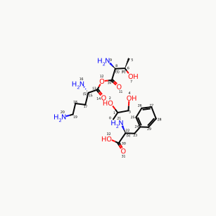 CC(O)CO.C[C@@H](O)[C@H](N)C(=O)OC(=O)[C@@H](N)CCCN.N[C@@H](Cc1ccccc1)C(=O)O